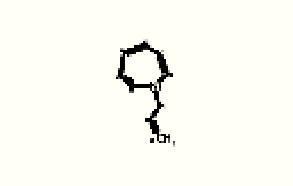 C=CCN1C=CC=CC=C1